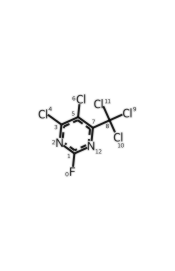 Fc1nc(Cl)c(Cl)c(C(Cl)(Cl)Cl)n1